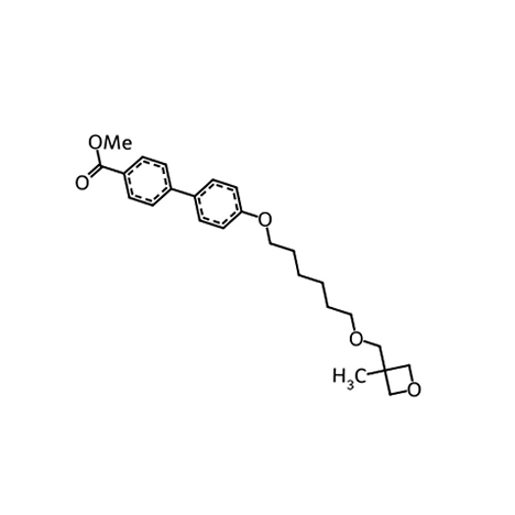 COC(=O)c1ccc(-c2ccc(OCCCCCCOCC3(C)COC3)cc2)cc1